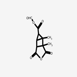 CC12C(=O)OC(=O)C1C1C(C(=O)OC=O)C12C